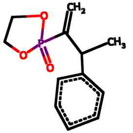 C=C(C(C)c1ccccc1)P1(=O)OCCO1